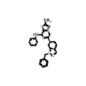 Nc1nc2c(Nc3ccccc3)nc(-c3ccc4cnn(Cc5ccccc5)c4c3)cn2n1